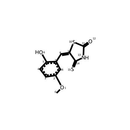 COc1ccc(O)c(C=C2SC(=O)NC2=S)c1